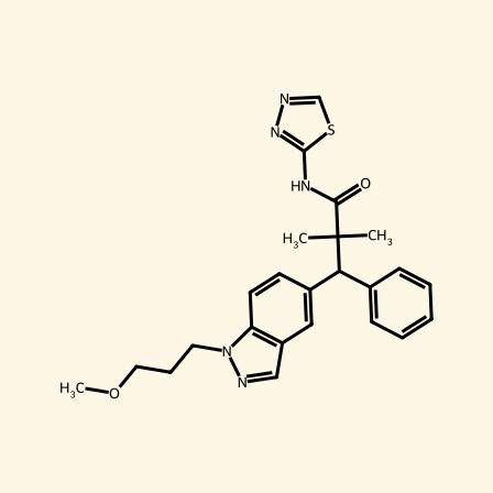 COCCCn1ncc2cc(C(c3ccccc3)C(C)(C)C(=O)Nc3nncs3)ccc21